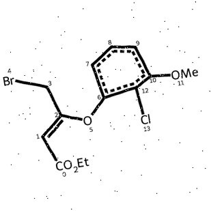 CCOC(=O)/C=C(/CBr)Oc1cccc(OC)c1Cl